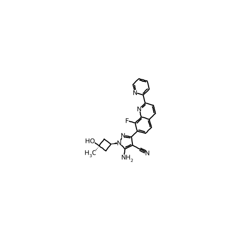 C[C@]1(O)C[C@@H](n2nc(-c3ccc4ccc(-c5ccccn5)nc4c3F)c(C#N)c2N)C1